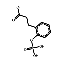 [O]C(=O)CCc1ccccc1OP(=O)(O)O